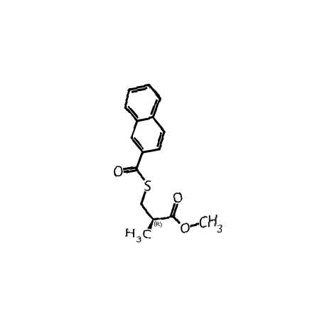 COC(=O)[C@@H](C)CSC(=O)c1ccc2ccccc2c1